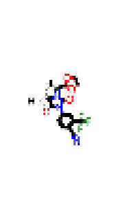 CC1(C)C(=O)N(c2ccc(C#N)c(C(F)(F)F)c2)C(=O)N1CC1OCCO1